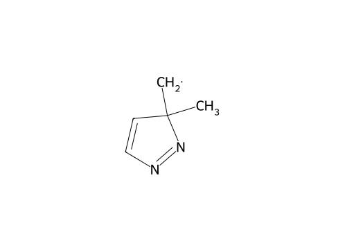 [CH2]C1(C)C=CN=N1